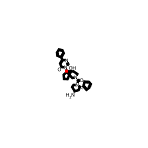 N[C@@H]1CCN(C(=O)N2CCC(O)(Cn3cnc(-c4ccccc4)cc3=O)C3(CCCC3)C2)[C@H](c2ccccc2)C1